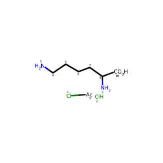 CC(=O)Cl.Cl.NCCCCC(N)C(=O)O